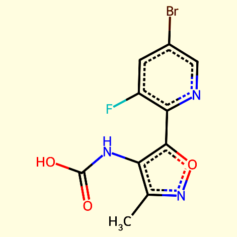 Cc1noc(-c2ncc(Br)cc2F)c1NC(=O)O